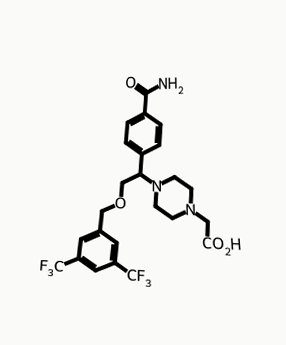 NC(=O)c1ccc(C(COCc2cc(C(F)(F)F)cc(C(F)(F)F)c2)N2CCN(CC(=O)O)CC2)cc1